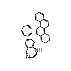 C1=CC=CCC=C1.C1=CNc2ccccc2C=N1.C1=c2ccc3c(c2CCC1)CC=c1ccccc1=3